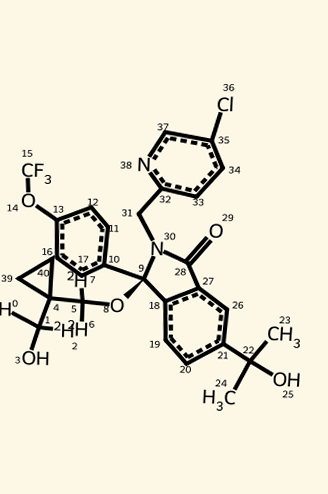 [2H]C([2H])(O)C1(C([2H])([2H])O[C@]2(c3ccc(OC(F)(F)F)cc3)c3ccc(C(C)(C)O)cc3C(=O)N2Cc2ccc(Cl)cn2)CC1